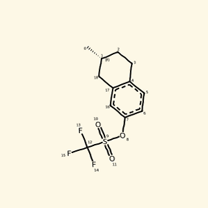 C[C@@H]1CCc2ccc(OS(=O)(=O)C(F)(F)F)cc2C1